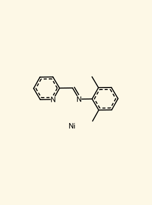 Cc1cccc(C)c1N=Cc1ccccn1.[Ni]